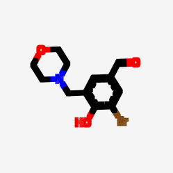 O=Cc1cc(Br)c(O)c(CN2CCOCC2)c1